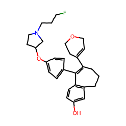 Oc1ccc2c(c1)CCCC(C1=CCOCC1)=C2c1ccc(OC2CCN(CCCF)C2)cc1